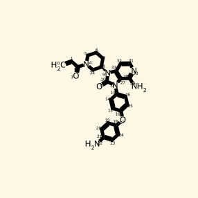 C=CC(=O)N1CCC[C@@H](n2c(=O)n(-c3ccc(Oc4ccc(N)cc4)cc3)c3c(N)nccc32)C1